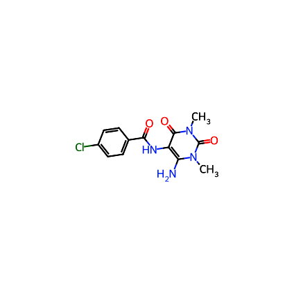 Cn1c(N)c(NC(=O)c2ccc(Cl)cc2)c(=O)n(C)c1=O